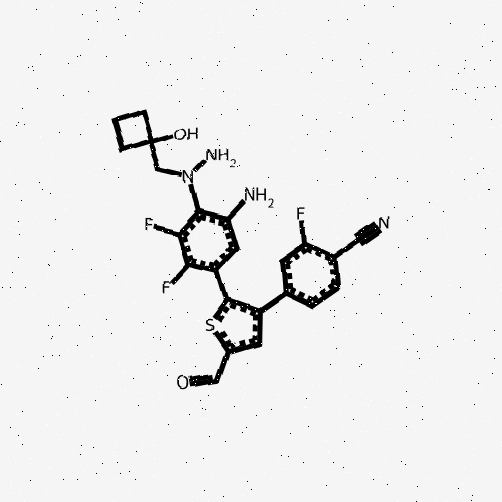 N#Cc1ccc(-c2cc(C=O)sc2-c2cc(N)c(N(N)CC3(O)CCC3)c(F)c2F)cc1F